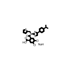 CC(C)c1ccc(-c2csc(N(Cc3cccs3)C(=O)c3cc(Cl)c(Cl)cc3C(=O)O)n2)cc1.[NaH]